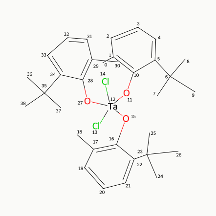 Cc1cccc(C(C)(C)C)c1[O][Ta]([Cl])([Cl])([O]c1c(C)cccc1C(C)(C)C)[O]c1c(C)cccc1C(C)(C)C